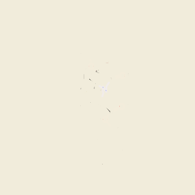 C=CCCO[C@@]1(Br)C(=O)N2[C@@H](C(=O)OCc3ccccc3)C(C)(C)S[C@@H]21